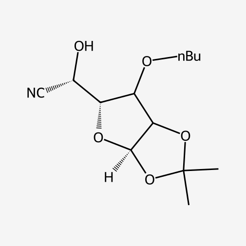 CCCCOC1C2OC(C)(C)O[C@H]2O[C@@H]1[C@@H](O)C#N